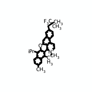 Cc1ccc2c(C(C)C)c3c(c(C)c2c1)-c1c2c(cc4cc(CC(C)(C)C(F)(F)F)ccc4c2cc[n+]1C)O3